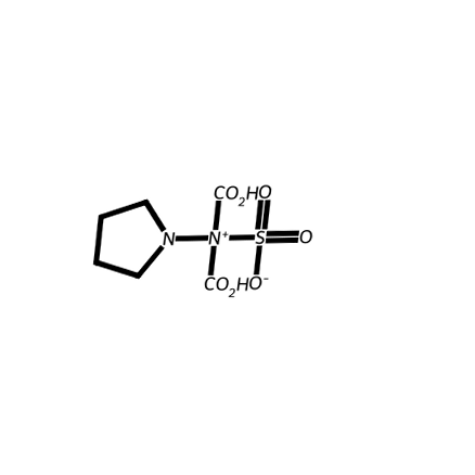 O=C(O)[N+](C(=O)O)(N1CCCC1)S(=O)(=O)[O-]